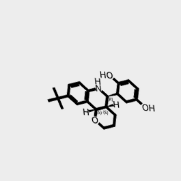 CC(C)(C)c1ccc2c(c1)[C@H]1OCCC[C@H]1[C@H](C1CC(O)=CC=C1O)N2